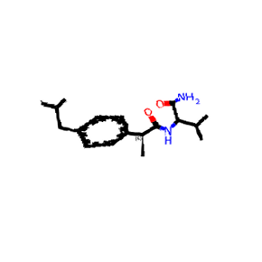 CC(C)Cc1ccc([C@H](C)C(=O)NC(C(N)=O)C(C)C)cc1